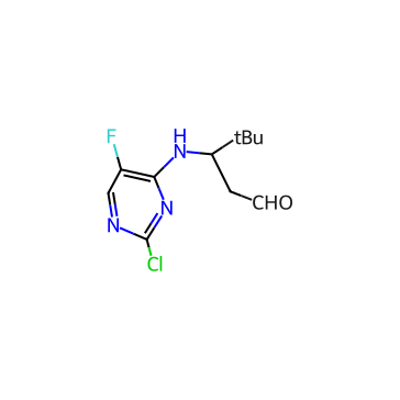 CC(C)(C)C(CC=O)Nc1nc(Cl)ncc1F